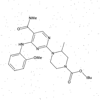 CNC(=O)c1cnc(N2CCN(C(=O)OC(C)(C)C)CC2C)nc1Nc1ccccc1OC